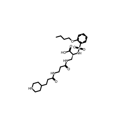 CCCCOc1ccccc1S(=O)(=O)N[C@@H](CNC(=O)CCNC(=O)CCC1CCNCC1)C(=O)O